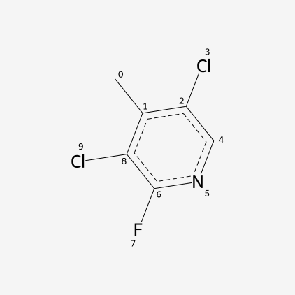 Cc1c(Cl)cnc(F)c1Cl